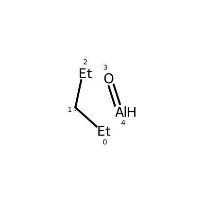 CC[CH]CC.[O]=[AlH]